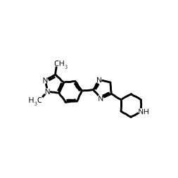 Cc1nn(C)c2ccc(C3=NCC(C4CCNCC4)=N3)cc12